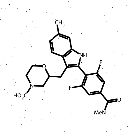 CNC(=O)c1cc(F)c(-c2[nH]c3cc(C)ccc3c2C[C@H]2CN(C(=O)O)CCO2)c(F)c1